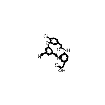 N#Cc1cc(C#N)cc(Oc2cc(CC(=O)Nc3ccc(CC(=O)O)cc3)ccc2Cl)c1